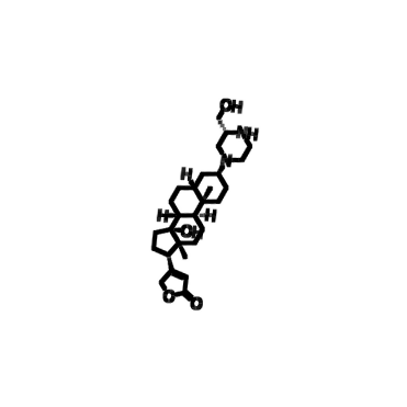 C[C@]12CC[C@H](N3CCN[C@@H](CO)C3)C[C@H]1CC[C@@H]1[C@@H]2CC[C@]2(C)[C@@H](C3=CC(=O)OC3)CC[C@]12O